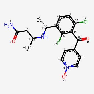 CC[C@@H](N[C@@H](C)CC(N)=O)c1ccc(Cl)c(C(=O)c2cc[n+]([O-])cc2)c1F